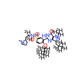 [2H]C([2H])(CC1CCCN1C)NS(=O)(=O)c1ccc(OC([2H])([2H])C([2H])([2H])C([2H])([2H])[2H])c(-c2nc3c(CC([2H])([2H])C([2H])([2H])[2H])nn(C([2H])([2H])[2H])c3c(=O)[nH]2)c1